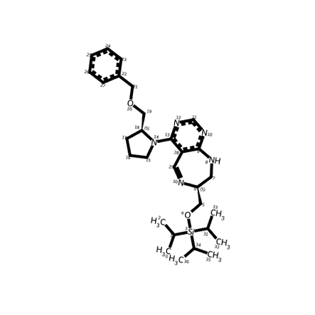 CC(C)[Si](OC[C@@H]1CNc2ncnc(N3CCC[C@H]3COCc3ccccc3)c2C=N1)(C(C)C)C(C)C